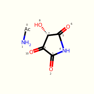 CC(N)=O.O=C1NC(=O)[C@@H](O)C1=O